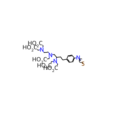 O=C(O)CN(CCN(CC(=O)O)CC(CCc1ccc(N=C=S)cc1)N(CC(=O)O)CC(=O)O)CC(=O)O